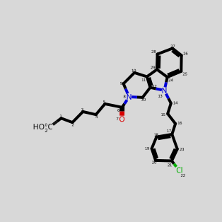 O=C(O)CCCCCC(=O)N1CCc2c(n(CCCc3cccc(Cl)c3)c3ccccc23)C1